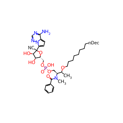 CCCCCCCCCCCCCCCCCCO[C@@H](C)[C@H](COP(=O)(O)OC[C@H]1O[C@@](C#N)(c2ccc3c(N)ncnn23)[C@H](O)[C@@H]1O)N(C)C(=O)c1ccccc1